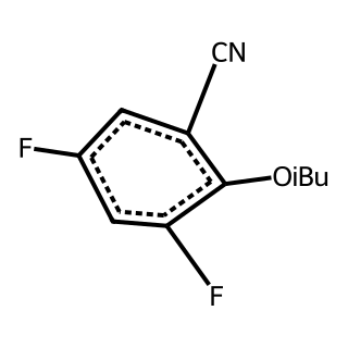 CC(C)COc1c(F)cc(F)cc1C#N